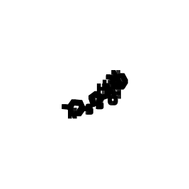 Cc1ccc(Sc2ccc(C(=O)N[C@@H]3C4CCN(CC4)[C@H]3C)s2)cn1